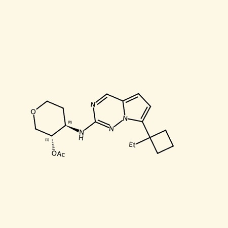 CCC1(c2ccc3cnc(N[C@@H]4CCOC[C@H]4OC(C)=O)nn23)CCC1